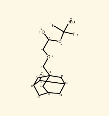 CC(C)(C)C(F)(F)OC(O)COCC12CC3CC(C1)C(O)C(C3)C2